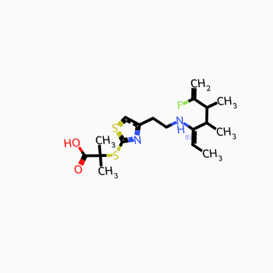 C=C(F)C(C)C(C)/C(=C\C)NCCc1csc(SC(C)(C)C(=O)O)n1